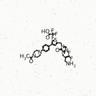 CC(=O)N1CCN(c2ccc(-c3csc(Cn4cnn(CC(CN)=C(F)F)c4=O)c3)cc2)CC1.O=C(O)C(F)(F)F